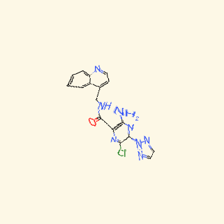 Nc1nc(-n2nccn2)c(Cl)nc1C(=O)NCc1ccnc2ccccc12